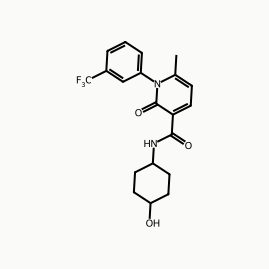 Cc1ccc(C(=O)NC2CCC(O)CC2)c(=O)n1-c1cccc(C(F)(F)F)c1